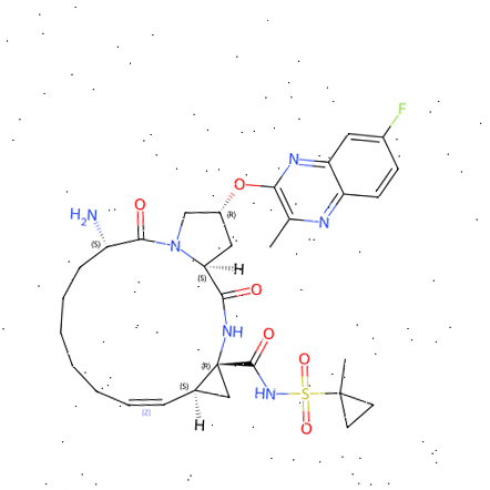 Cc1nc2ccc(F)cc2nc1O[C@@H]1C[C@H]2C(=O)N[C@]3(C(=O)NS(=O)(=O)C4(C)CC4)C[C@H]3/C=C\CCCCC[C@H](N)C(=O)N2C1